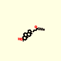 COC(=O)CCC[C@H]1CCC2C3CC=C4C[C@@](C)(O)CCC4(C)C3CCC21C